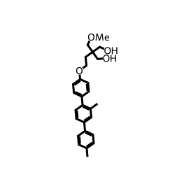 COCC(CO)(CO)CCOc1ccc(-c2ccc(-c3ccc(C)cc3)cc2C)cc1